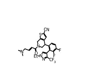 CCn1cc(-c2c(C3CN(C(=O)/C=C/CN(C)C)Cc4sc(C#N)cc43)ccc(F)c2F)c(C(F)(F)F)n1